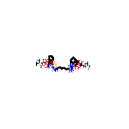 CC1(C)OCC(C(=O)Nc2nnc(CCCCc3nnc(NC(=O)[C@@]4(c5ccccc5)COC(C)(C)O4)s3)s2)(c2ccccc2)O1